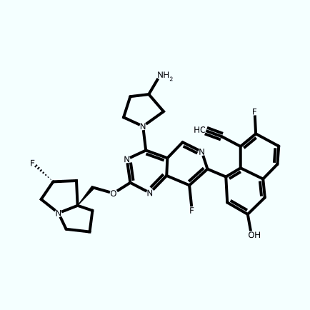 C#Cc1c(F)ccc2cc(O)cc(-c3ncc4c(N5CCC(N)C5)nc(OC[C@@]56CCCN5C[C@H](F)C6)nc4c3F)c12